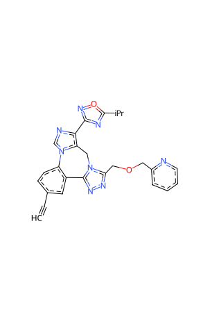 C#Cc1ccc2c(c1)-c1nnc(COCc3ccccn3)n1Cc1c(-c3noc(C(C)C)n3)ncn1-2